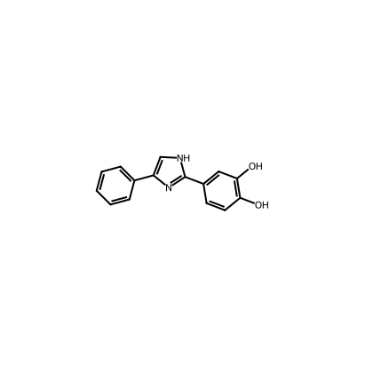 Oc1ccc(-c2nc(-c3ccccc3)c[nH]2)cc1O